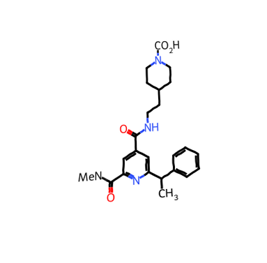 CNC(=O)c1cc(C(=O)NCCC2CCN(C(=O)O)CC2)cc(C(C)c2ccccc2)n1